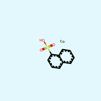 O=S(=O)(O)c1cccc2ccccc12.[Co]